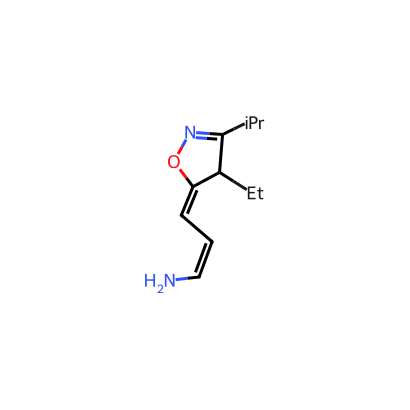 CCC1C(C(C)C)=NO/C1=C/C=C\N